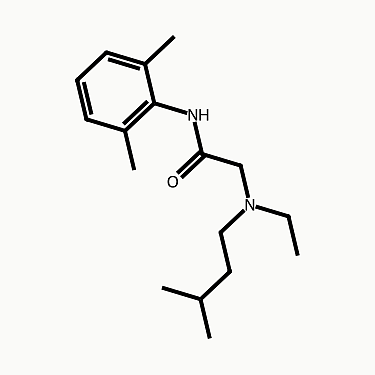 CCN(CCC(C)C)CC(=O)Nc1c(C)cccc1C